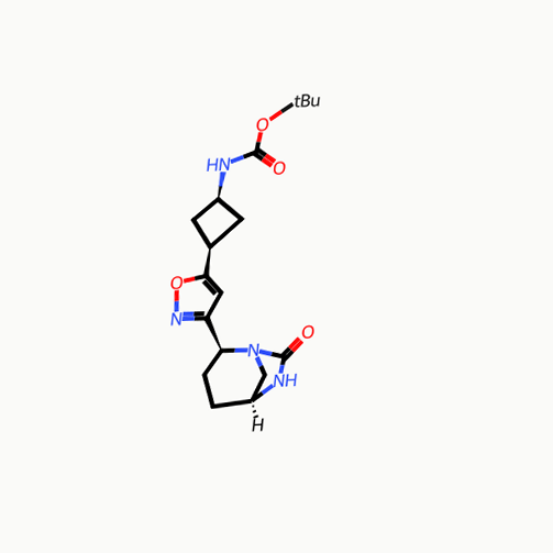 CC(C)(C)OC(=O)N[C@H]1C[C@@H](c2cc([C@@H]3CC[C@H]4CN3C(=O)N4)no2)C1